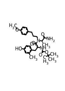 COc1ccc(CCCN(C(=O)C(Cc2c(C)cc(O)cc2C)NC(=O)OC(C)(C)C)[C@H](C)C(N)=O)cc1